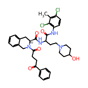 Cc1c(Cl)ccc(NC(=O)C(CCN2CCC(O)CC2)NC(=O)[C@@H]2Cc3ccccc3CN2C(=O)CCC(=O)c2ccccc2)c1Cl